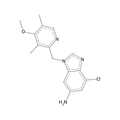 COc1c(C)cnc(Cn2cnc3c(Cl)cc(N)cc32)c1C